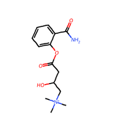 C[N+](C)(C)CC(O)CC(=O)Oc1ccccc1C(N)=O